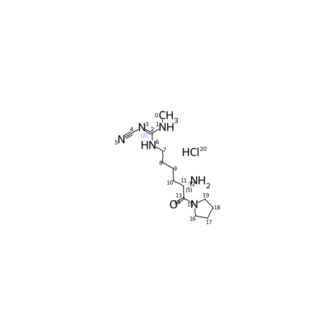 CN/C(=N/C#N)NCCCC[C@H](N)C(=O)N1CCCC1.Cl